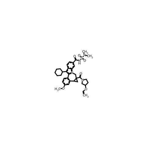 C=COC1CCN(C(=O)C23CC2c2cc(OC)ccc2-c2c(C4CCCCC4)c4ccc(C(=O)NS(=O)(=O)N(C)C)cc4n2C3)C1